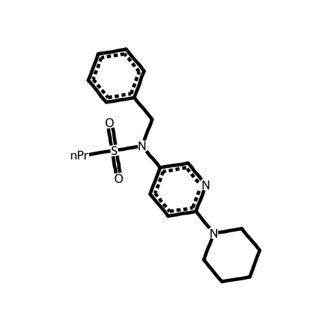 CCCS(=O)(=O)N(Cc1ccccc1)c1ccc(N2CCCCC2)nc1